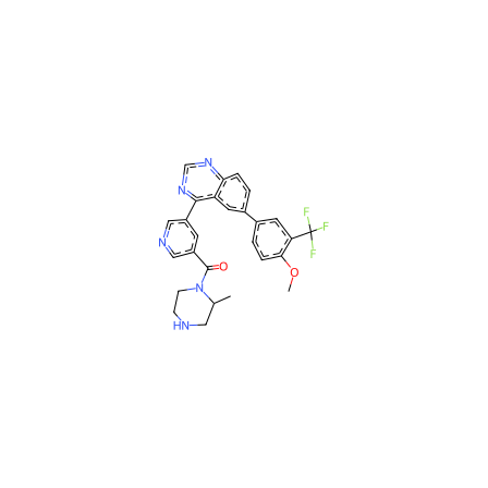 COc1ccc(-c2ccc3ncnc(-c4cncc(C(=O)N5CCNCC5C)c4)c3c2)cc1C(F)(F)F